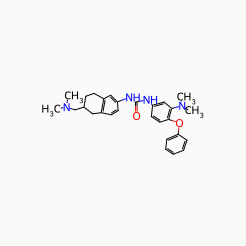 CN(C)CC1CCc2cc(NC(=O)Nc3ccc(Oc4ccccc4)c(N(C)C)c3)ccc2C1